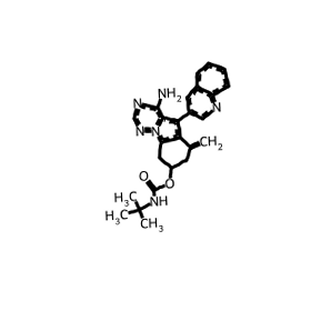 C=C1CC(OC(=O)NC(C)(C)C)Cc2c1c(-c1cnc3ccccc3c1)c1c(N)ncnn21